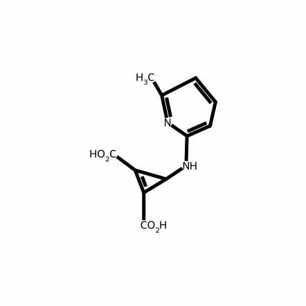 Cc1cccc(NC2C(C(=O)O)=C2C(=O)O)n1